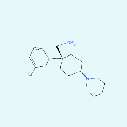 NC[C@]1(C2C=CC=C(Cl)C2)CC[C@H](N2CCCCC2)CC1